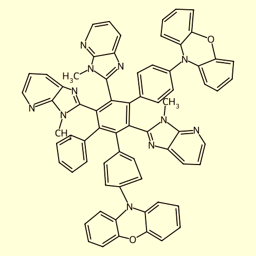 Cn1c(-c2c(-c3ccc(N4c5ccccc5Oc5ccccc54)cc3)c(-c3ccccc3)c(-c3nc4cccnc4n3C)c(-c3nc4cccnc4n3C)c2-c2ccc(N3c4ccccc4Oc4ccccc43)cc2)nc2cccnc21